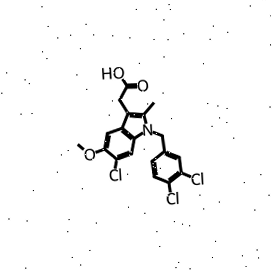 COc1cc2c(CC(=O)O)c(C)n(Cc3ccc(Cl)c(Cl)c3)c2cc1Cl